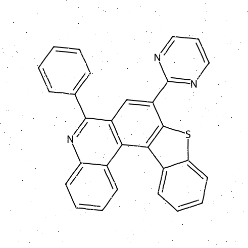 c1ccc(-c2nc3ccccc3c3c2cc(-c2ncccn2)c2sc4ccccc4c23)cc1